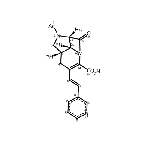 CC(=O)N1C[C@H]2CC(/C=C/c3cccnc3)=C(C(=O)O)N3C(=O)[C@@H]1[C@@H]23